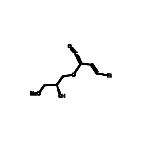 CCC=CC(=C=O)OC[C@@H](O)COC